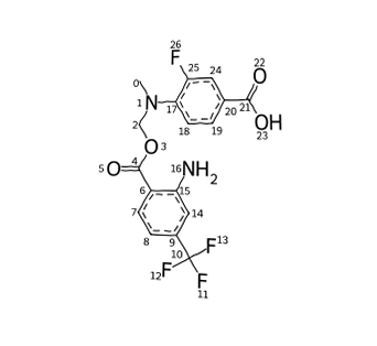 CN(COC(=O)c1ccc(C(F)(F)F)cc1N)c1ccc(C(=O)O)cc1F